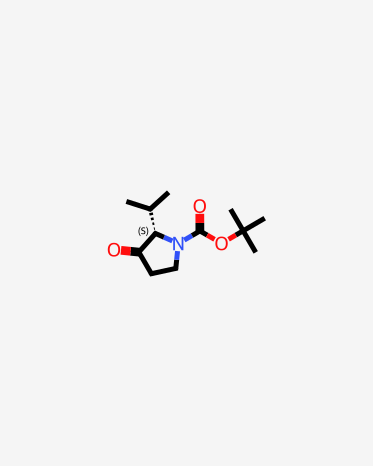 CC(C)[C@H]1C(=O)CCN1C(=O)OC(C)(C)C